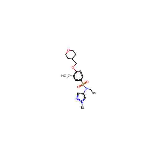 CCn1cc(N(CC(C)C)S(=O)(=O)c2ccc(OCC3CCOCC3)c(C(=O)O)c2)cn1